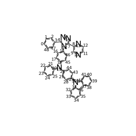 c1ccc(-c2nnc(-c3cnccn3)n2-c2ccc(N(c3ccccc3)c3ccc(-n4c5ccccc5c5ccccc54)cc3)cc2)cc1